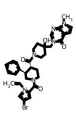 C=Cn1cc(Br)cc1C(=O)N1CC[C@@H](C(=O)N2CCC(O)(Cn3cnc4c(ccn4C)c3=O)CC2)[C@H](c2ccccc2)C1